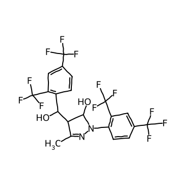 CC1=NN(c2ccc(C(F)(F)F)cc2C(F)(F)F)C(O)C1C(O)c1ccc(C(F)(F)F)cc1C(F)(F)F